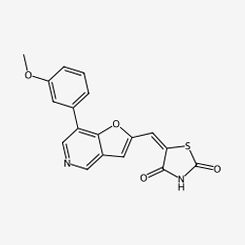 COc1cccc(-c2cncc3cc(/C=C4/SC(=O)NC4=O)oc23)c1